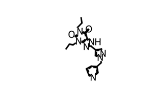 CCCn1c(=O)c2[nH]c(-c3cnn(Cc4cccnc4)c3)nc2n(CCC)c1=O